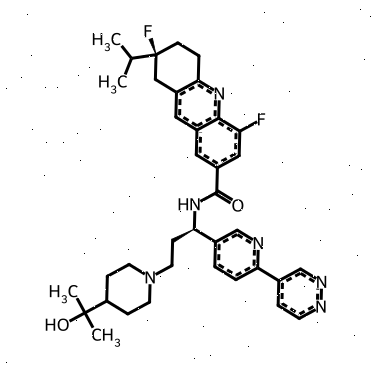 CC(C)[C@]1(F)CCc2nc3c(F)cc(C(=O)N[C@H](CCN4CCC(C(C)(C)O)CC4)c4ccc(-c5ccnnc5)nc4)cc3cc2C1